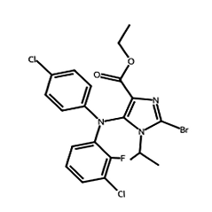 CCOC(=O)c1nc(Br)n(C(C)C)c1N(c1ccc(Cl)cc1)c1cccc(Cl)c1F